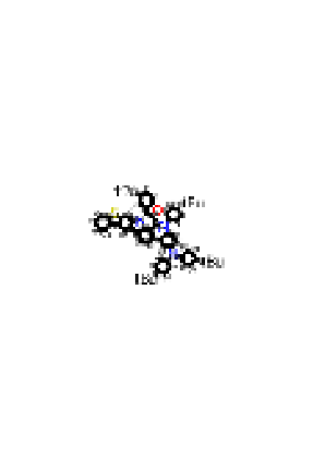 CC(C)(C)c1ccc(N2B3c4oc5ccc(C(C)(C)C)cc5c4-n4c5cc6sc7ccccc7c6cc5c5ccc(c3c54)-c3cc(N(c4ccc(C(C)(C)C)cc4)c4ccc(C(C)(C)C)cc4)ccc32)cc1